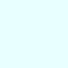 CC(COC(c1ccccc1)(c1ccccc1)c1ccccc1)C(=O)O